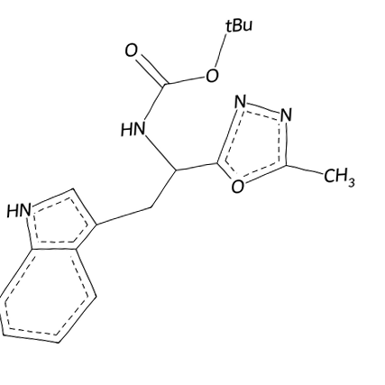 Cc1nnc(C(Cc2c[nH]c3ccccc23)NC(=O)OC(C)(C)C)o1